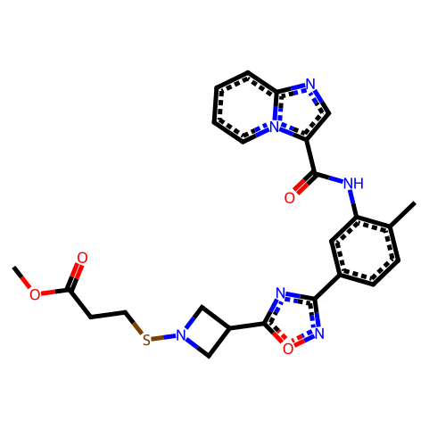 COC(=O)CCSN1CC(c2nc(-c3ccc(C)c(NC(=O)c4cnc5ccccn45)c3)no2)C1